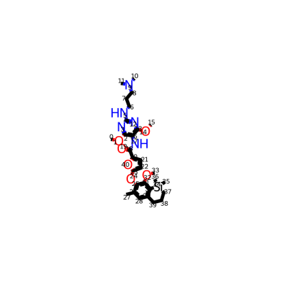 COc1nc(NCCCN(C)C)nc(OC)c1NC(=O)c1ccc(Oc2c(C)cc3c(c2OC)[Si](C)(C)CCC3)o1